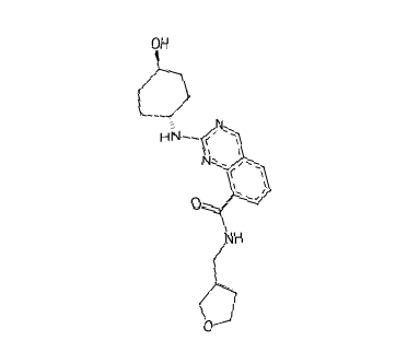 O=C(NCC1CCOC1)c1cccc2cnc(N[C@H]3CC[C@H](O)CC3)nc12